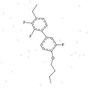 CCCCOc1ccc(-c2ccc(CC)c(F)c2F)cc1F